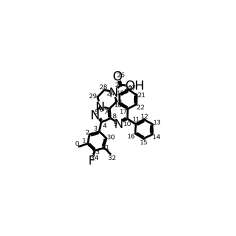 Cc1cc(-c2nn3c(c2N=C(c2ccccc2)c2ccccc2)CN(C(=O)O)CC3)cc(C)c1F